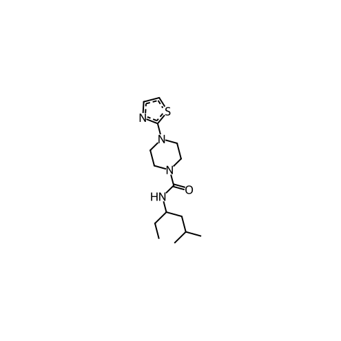 CCC(CC(C)C)NC(=O)N1CCN(c2nccs2)CC1